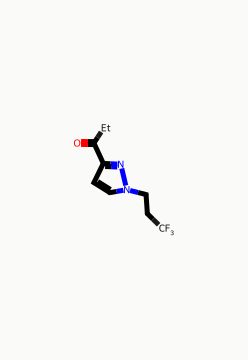 CCC(=O)c1ccn(CCC(F)(F)F)n1